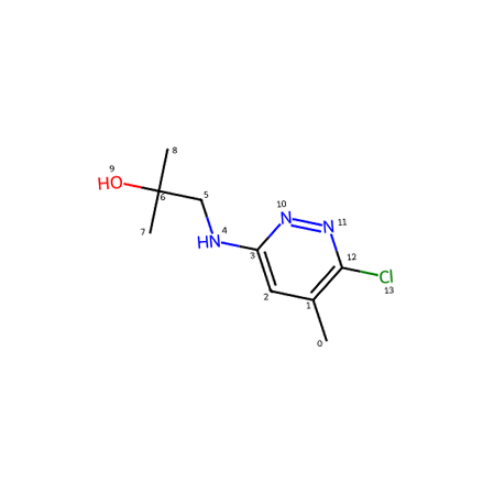 Cc1cc(NCC(C)(C)O)nnc1Cl